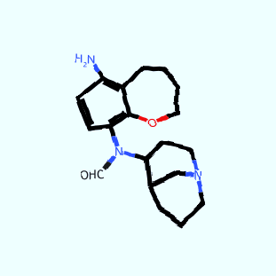 Nc1ccc(N(C=O)C2CCN3CCCC2C3)c2c1CCCCO2